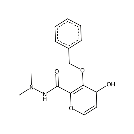 CN(C)NC(=O)C1=C(OCc2ccccc2)C(O)C=CO1